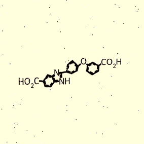 O=C(O)c1cccc(Oc2ccc(-c3nc4cc(C(=O)O)ccc4[nH]3)cc2)c1